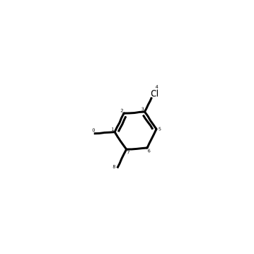 CC1=CC(Cl)=CCC1C